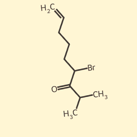 C=CCCCC(Br)C(=O)C(C)C